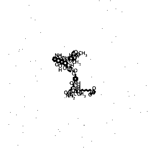 CO[C@H]1OCCN2[C@@H]1O[C@@H]1[C@H](C)O[C@@H](O[C@H]3C[C@](O)(C(=O)N4CCN(C(=O)OCc5ccc(NC(=O)[C@H](CCCNC(N)=O)NC(=O)[C@@H](NC(=O)CCCCCN6C(=O)C=CC6=O)C(C)C)cc5)CC4)Cc4c(O)c5c(c(O)c43)C(=O)c3c(N)cccc3C5=O)C[C@@H]12